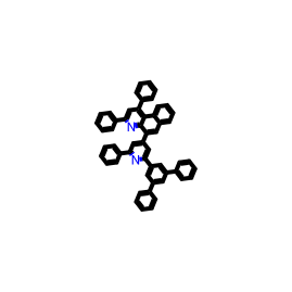 c1ccc(-c2cc(-c3ccccc3)cc(-c3cc(-c4cc5ccccc5c5c(-c6ccccc6)cc(-c6ccccc6)nc45)cc(-c4ccccc4)n3)c2)cc1